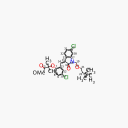 COC(=O)C(C)(C)Oc1ccc(Cl)cc1C=C1C(=O)N(COCC[Si](C)(C)C)c2cc(Cl)ccc21